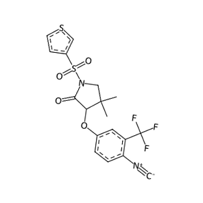 [C-]#[N+]c1ccc(OC2C(=O)N(S(=O)(=O)c3ccsc3)CC2(C)C)cc1C(F)(F)F